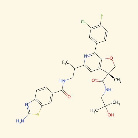 CC(C)(O)CNC(=O)[C@@]1(C)COc2c1cc(C(CNC(=O)c1ccc3nc(N)sc3c1)C(F)(F)F)nc2-c1ccc(F)c(Cl)c1